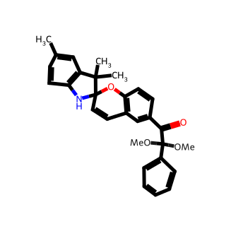 COC(OC)(C(=O)c1ccc2c(c1)C=CC1(Nc3ccc(C)cc3C1(C)C)O2)c1ccccc1